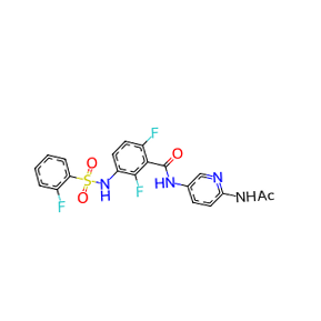 CC(=O)Nc1ccc(NC(=O)c2c(F)ccc(NS(=O)(=O)c3ccccc3F)c2F)cn1